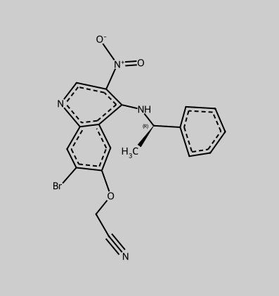 C[C@@H](Nc1c([N+](=O)[O-])cnc2cc(Br)c(OCC#N)cc12)c1ccccc1